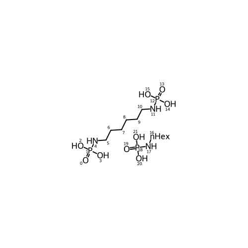 O=P(O)(O)NCCCCCCNP(=O)(O)O.[CH2]CCCCCNP(=O)(O)O